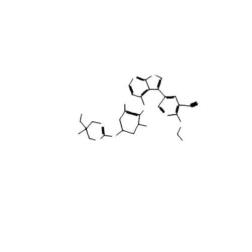 CCOc1ncc(-c2c[nH]c3nccc(OC4=C(F)CC(NC5=NCC(C)(CO)CO5)CC4F)c23)cc1C#N